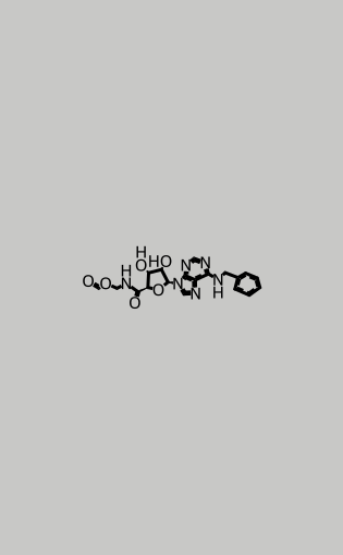 O=COCNC(=O)[C@@H]1O[C@H](n2cnc3c(NCc4ccccc4)ncnc32)[C@@H](O)[C@H]1O